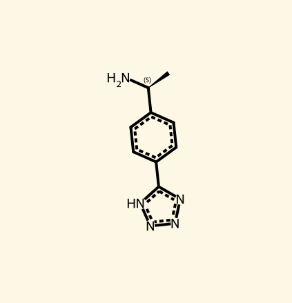 C[C@H](N)c1ccc(-c2nnn[nH]2)cc1